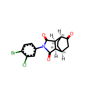 O=C1C[C@@H]2CC[C@H]1[C@@H]1C(=O)N(c3ccc(Br)c(Cl)c3)C(=O)[C@H]21